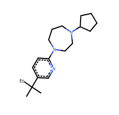 CCC(C)(C)c1ccc(N2CCCN(C3CCCC3)CC2)nc1